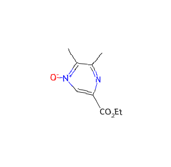 CCOC(=O)c1c[n+]([O-])c(C)c(C)n1